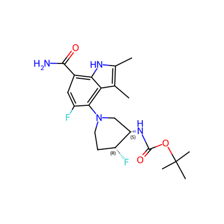 Cc1[nH]c2c(C(N)=O)cc(F)c(N3CC[C@@H](F)[C@@H](NC(=O)OC(C)(C)C)C3)c2c1C